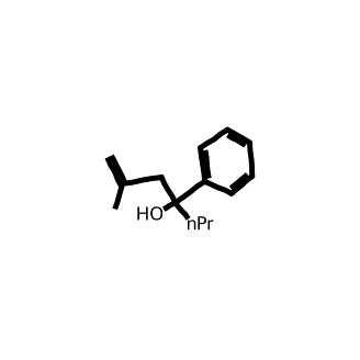 C=C(C)CC(O)(CCC)c1ccccc1